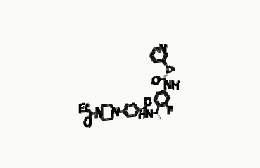 CCC(=O)N1CCN(c2ccc(C(=O)N[C@@H](C)c3ccc(NC(=O)[C@H]4C[C@@H]4c4cccnc4)cc3F)cc2)CC1